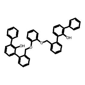 Oc1c(-c2ccccc2)cccc1-c1ccccc1COc1ccccc1OCc1ccccc1-c1cccc(-c2ccccc2)c1O